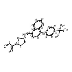 C=CC(=O)N1CC[C@H](Nc2ncc(-c3ccc(C(F)(F)F)cn3)c3ncccc23)C1